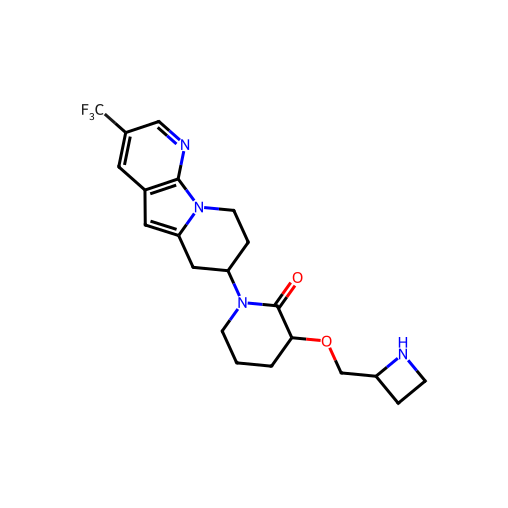 O=C1C(OCC2CCN2)CCCN1C1CCn2c(cc3cc(C(F)(F)F)cnc32)C1